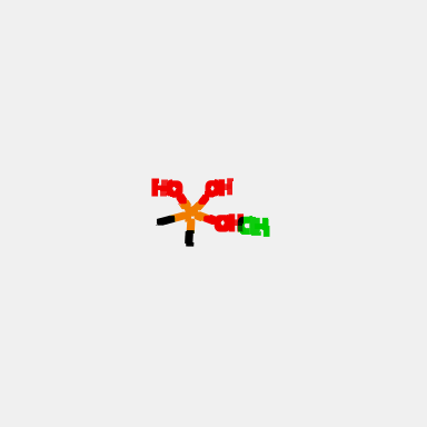 CP(C)(O)(O)O.Cl